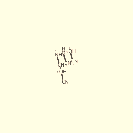 N#CN.N#CO.N#CO.N#CO